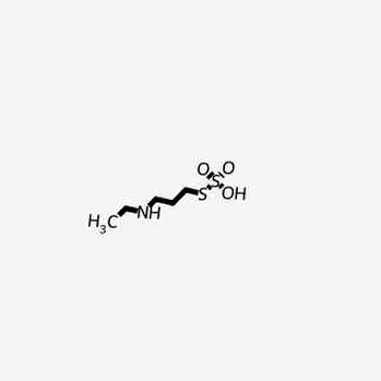 CCNCCCSS(=O)(=O)O